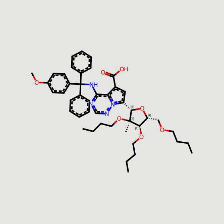 CCCCOC[C@H]1O[C@@H](c2cc(C(=O)O)c3c(NC(c4ccccc4)(c4ccccc4)c4ccc(OC)cc4)ncnn23)[C@](C)(OCCCC)[C@@H]1OCCCC